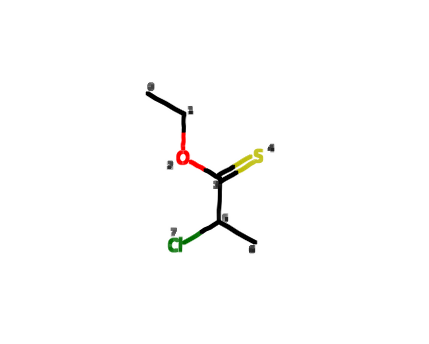 CCOC(=S)C(C)Cl